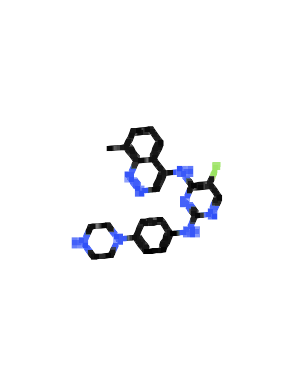 Cc1cccc2c(Nc3nc(Nc4ccc(N5CCNCC5)cc4)ncc3F)cnnc12